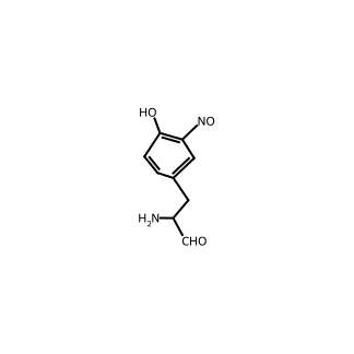 NC(C=O)Cc1ccc(O)c(N=O)c1